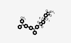 Cc1ccc(N(c2ccccc2)c2ccc(-c3ccc(N(c4ccccc4)c4ccc(N5C(=O)c6ccc(C(c7ccc8c(c7)C(=O)N(C)C8=O)(C(F)(F)F)C(F)(F)F)cc6C5=O)cc4)cc3)cc2)cc1